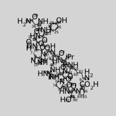 CC(C)C[C@H](NC(=O)[C@H](Cc1c[nH]cn1)NC(=O)[C@H](CO)NC(=O)[C@H](Cc1ccc(O)cc1)NC(=O)[C@@H](N)CC(N)=O)C(=O)N[C@@H](CCCNC(=N)N)C(=O)N[C@H](C(=O)N[C@@H](CCCCN)C(=O)N[C@@H](CC(C)C)C(=O)N1CCC[C@H]1C(=O)N[C@H](C(=O)N1CCC[C@H]1C(=O)O)[C@@H](C)O)C(C)C